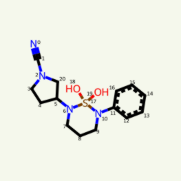 N#CN1CCC(N2CCCN(c3ccccc3)S2(O)O)C1